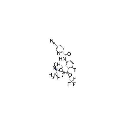 C/N=C(/N)O[C@H](CF)[C@H](OCC(F)(F)F)c1cc(NC(=O)c2ccc(C#N)cn2)ccc1F